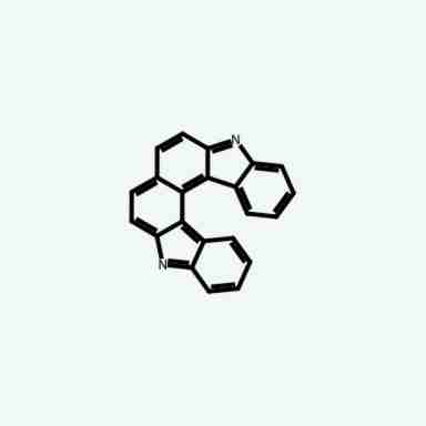 c1ccc2c(c1)N=c1ccc3ccc4c(c3c1-2)=c1ccccc1=N4